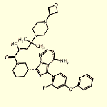 CC(C)(C=C(C#N)C(=O)N1CCC[C@@H](c2nc(-c3ccc(Oc4ccccc4)cc3F)c3c(N)ncnn23)C1)N1CCN(C2COC2)CC1